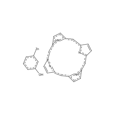 C1=Cc2cc3ccc(cc4nc(cc5ccc(cc1n2)[nH]5)C=C4)[nH]3.Oc1ccc[c]([Zn])c1